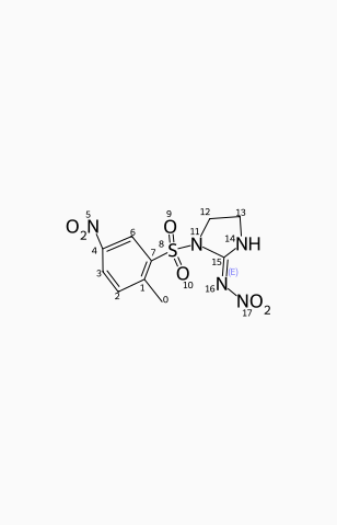 Cc1ccc([N+](=O)[O-])cc1S(=O)(=O)N1CCN/C1=N\[N+](=O)[O-]